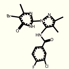 Cc1nn(-c2nc(C)c(Br)c(=O)[nH]2)c(NC(=O)c2ccc(F)c(Cl)c2)c1C